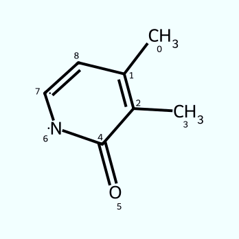 CC1=C(C)C(=O)[N][C]=C1